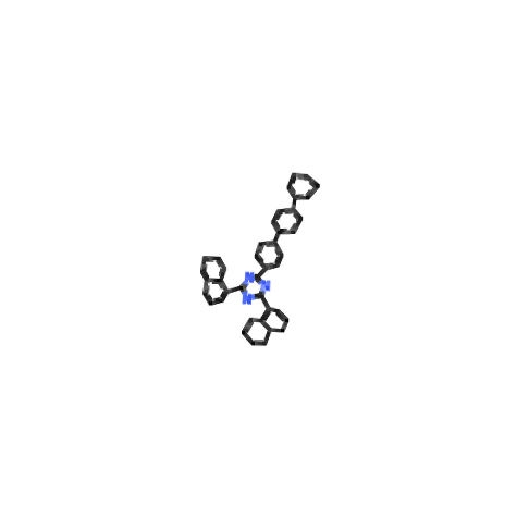 C1=CC2=C(c3nc(-c4ccc(-c5ccc(-c6ccccc6)cc5)cc4)nc(-c4cccc5ccccc45)n3)C=CCC2C=C1